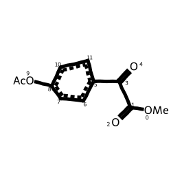 COC(=O)C(=O)c1ccc(OC(C)=O)cc1